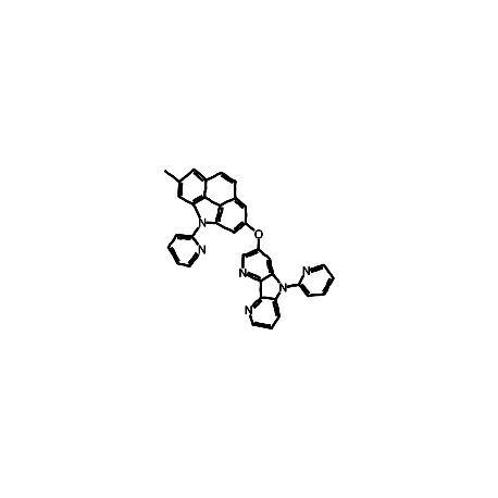 Cc1cc2ccc3cc(Oc4cnc5c6ncccc6n(-c6ccccn6)c5c4)cc4c3c2c(c1)n4-c1ccccn1